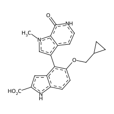 Cn1cc(-c2c(OCC3CC3)ccc3[nH]c(C(=O)O)cc23)c2cc[nH]c(=O)c21